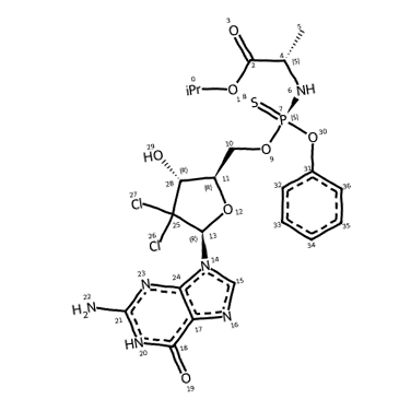 CC(C)OC(=O)[C@H](C)N[P@](=S)(OC[C@H]1O[C@@H](n2cnc3c(=O)[nH]c(N)nc32)C(Cl)(Cl)[C@@H]1O)Oc1ccccc1